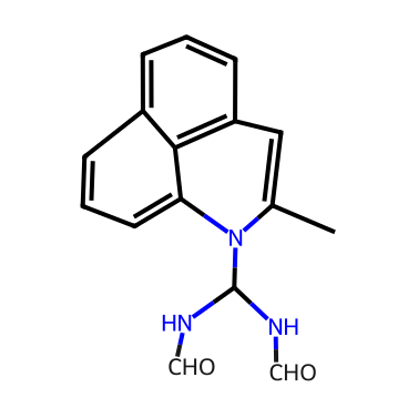 CC1=Cc2cccc3cccc(c23)N1C(NC=O)NC=O